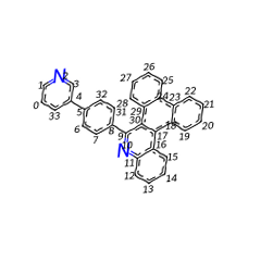 c1cncc(-c2ccc(-c3nc4ccccc4c4c5ccccc5c5ccccc5c34)cc2)c1